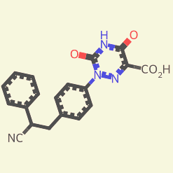 N#CC(Cc1ccc(-n2nc(C(=O)O)c(=O)[nH]c2=O)cc1)c1ccccc1